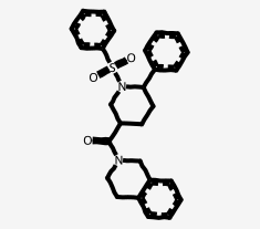 O=C(C1CCC(c2ccccc2)N(S(=O)(=O)c2ccccc2)C1)N1CCc2ccccc2C1